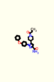 C=CC(=O)N1CCC(c2cc(C(N)=O)nn2-c2ccc(Oc3ccccc3)cc2)CC1